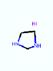 C1CNCN1.I